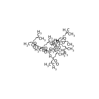 C=CC(C)(CCC=C(C)C)OC(=O)C(C)(C)C(C)=CCCC(C=C(C)C)OC=O.C=CC(C)(CCC=C(C)C)OC(=O)C(C)C.C=CC(C)(CCC=C(C)C)OC(=O)CC.C=CC(C)(CCC=C(C)C)OC(=O)CC